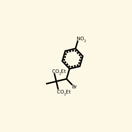 CCOC(=O)C(C)(C(=O)OCC)C(Br)c1ccc([N+](=O)[O-])cc1